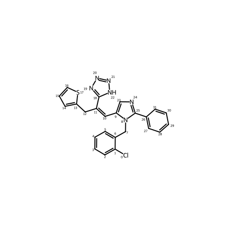 Clc1ccccc1Cn1c(C=C(Cc2cccs2)c2nnn[nH]2)cnc1-c1ccccc1